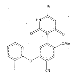 COc1cc(C#N)c(Oc2ccccc2C)cc1-n1c(=O)cc(Br)[nH]c1=O